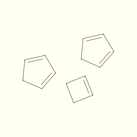 C1=CCC1.C1=CCC=C1.C1=CCC=C1